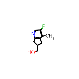 Cc1c(F)cnc2c1CC(CO)C2